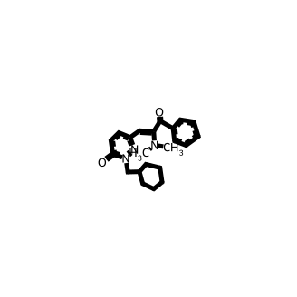 CN(C)C(=Cc1ccc(=O)n(CC2CCCCC2)n1)C(=O)c1ccccc1